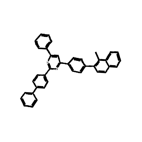 Cc1c(-c2ccc(-c3cc(-c4ccccc4)nc(-c4ccc(-c5ccccc5)cc4)n3)cc2)ccc2ccccc12